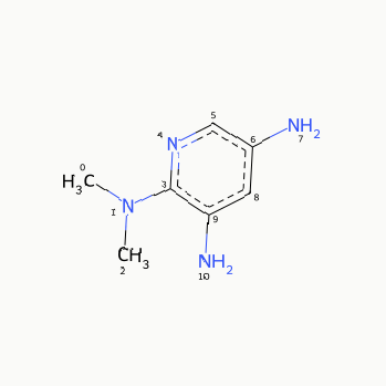 CN(C)c1ncc(N)cc1N